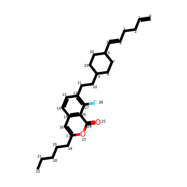 C=CCC/C=C/C1CCC(CCc2ccc3cc(CCCCC)oc(=O)c3c2F)CC1